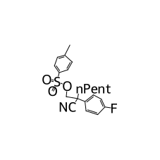 CCCCCC(C#N)(COS(=O)(=O)c1ccc(C)cc1)c1ccc(F)cc1